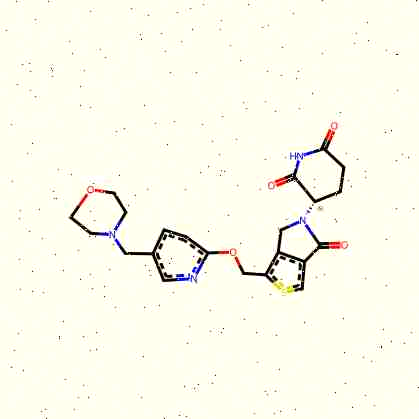 O=C1CC[C@H](N2Cc3c(csc3COc3ccc(CN4CCOCC4)cn3)C2=O)C(=O)N1